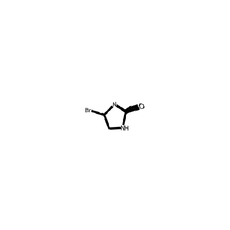 O=C1[N]C(Br)CN1